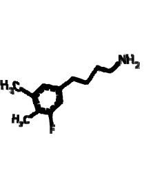 Cc1cc(CCCCN)cc(F)c1C